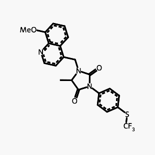 COc1cccc2c(CN3C(=O)N(c4ccc(SC(F)(F)F)cc4)C(=O)C3C)ccnc12